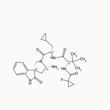 CC(C)(C)[C@H](NC(=O)C1(F)CC1)C(=O)N[C@@H](CC1CC1)C(=O)N1C[C@]2(C[C@H]1N)C(=O)Nc1ccccc12